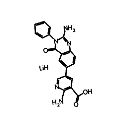 Nc1ncc(-c2ccc3nc(N)n(-c4ccccc4)c(=O)c3c2)cc1C(=O)O.[LiH]